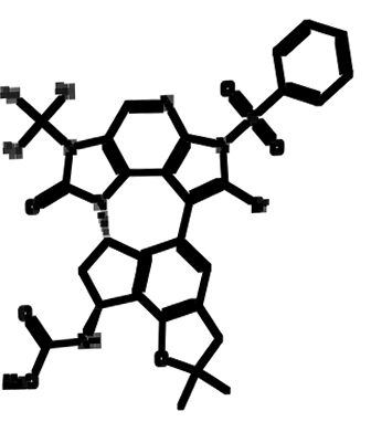 [2H]C([2H])([2H])n1c(=O)n([C@@H]2CC[C@@H](NC(=O)OC)C2)c2c3c(-c4ccc5c(c4)CC(C)(C)O5)c(Br)n(S(=O)(=O)c4ccccc4)c3ncc21